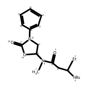 CCCCC(CC)CC(=O)N(C)C1CN(c2ccccc2)C(=O)O1